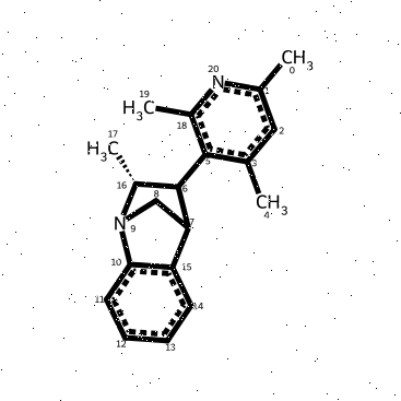 Cc1cc(C)c(C2C3CN(c4ccccc43)[C@@H]2C)c(C)n1